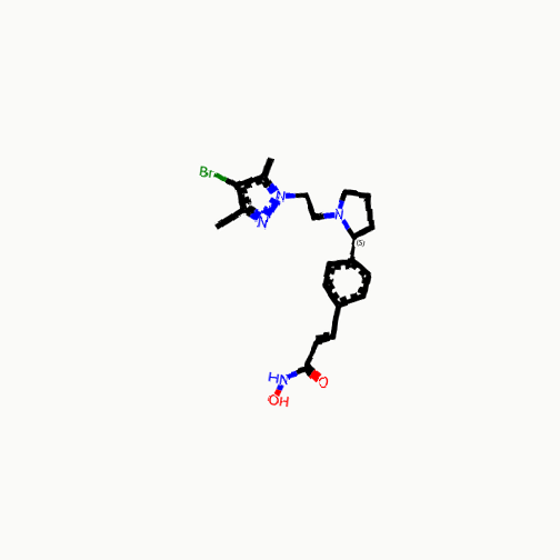 Cc1nn(CCN2CCC[C@H]2c2ccc(C=CC(=O)NO)cc2)c(C)c1Br